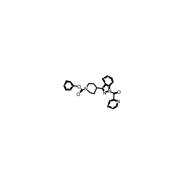 O=C(Oc1ccccc1)N1CCC(c2nn(C(=O)c3ccccn3)c3ccccc23)CC1